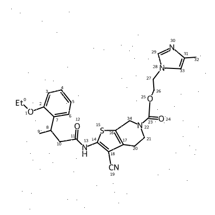 CCOc1ccccc1C(C)CC(=O)Nc1sc2c(c1C#N)CCN(C(=O)OCCn1cnc(C)c1)C2